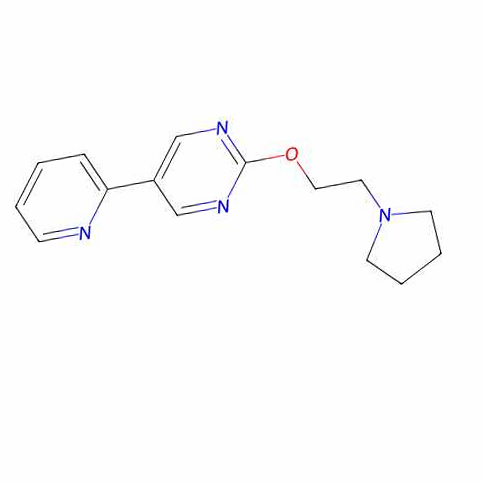 c1ccc(-c2cnc(OCCN3CCCC3)nc2)nc1